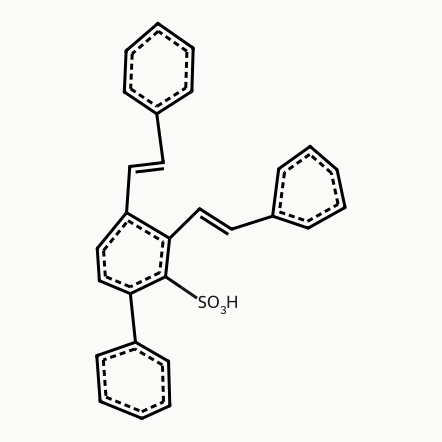 O=S(=O)(O)c1c(-c2ccccc2)ccc(C=Cc2ccccc2)c1C=Cc1ccccc1